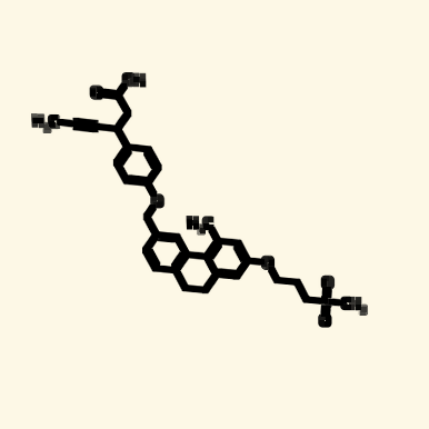 CC#CC(CC(=O)O)c1ccc(OCc2ccc3c(c2)-c2c(C)cc(OCCCS(C)(=O)=O)cc2CC3)cc1